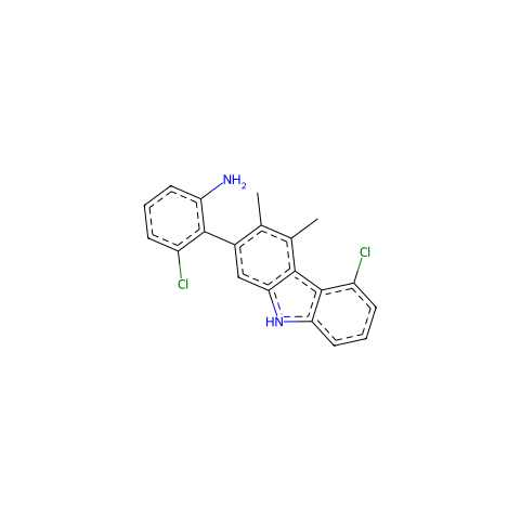 Cc1c(-c2c(N)cccc2Cl)cc2[nH]c3cccc(Cl)c3c2c1C